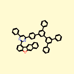 c1ccc(-c2cc(-c3ccccc3)cc(-c3cc(-c4ccccc4)cc(-c4ccc(-c5cc(-c6ccccc6)nc(-c6cccc7oc8cc9ccccc9cc8c67)n5)cc4)c3)c2)cc1